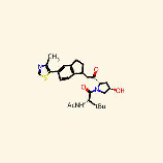 CC(=O)N[C@H](C(=O)N1C[C@H](O)C[C@H]1C(=O)C[C@@H]1CCc2cc(-c3scnc3C)ccc21)C(C)(C)C